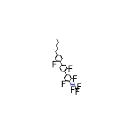 CCCCCc1ccc(-c2ccc(-c3cc(F)c(/C=C/C(F)(F)F)c(F)c3)c(F)c2)c(F)c1